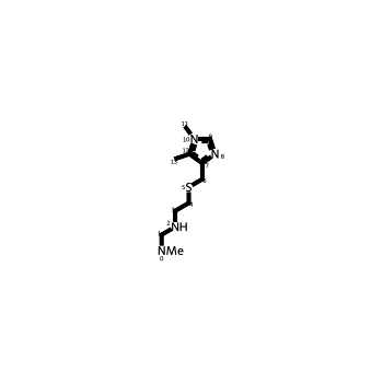 CNCNCCSCc1ncn(C)c1C